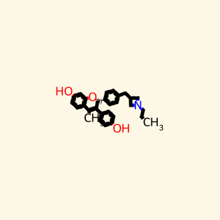 CCCN1CC(Cc2ccc([C@H]3Oc4cc(O)ccc4C(C)=C3c3ccc(O)cc3)cc2)C1